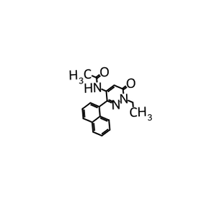 CCn1nc(-c2cccc3ccccc23)c(NC(C)=O)cc1=O